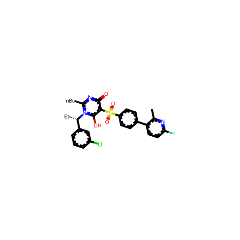 CCCCc1nc(=O)c(S(=O)(=O)c2ccc(-c3ccc(F)nc3C)cc2)c(O)n1[C@@H](CC)c1cccc(Cl)c1